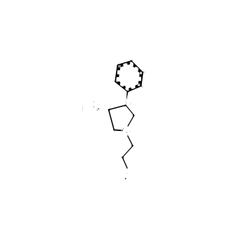 COCCN1C[C@H](c2ccccc2)[C@@H](N)C1